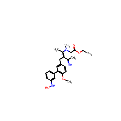 CCOC(=O)CN(C)/C(C)=C(/Cc1ccc(OC)c(-c2cccc(NO)c2)c1)C(C)=N